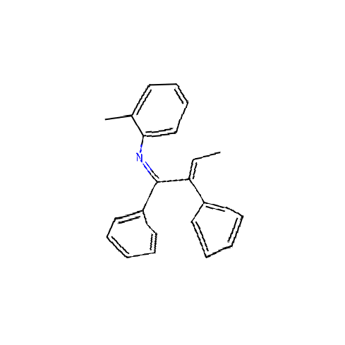 CC=C(/C(=N\c1ccccc1C)c1ccccc1)c1ccccc1